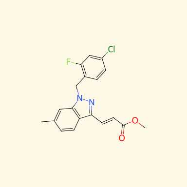 COC(=O)C=Cc1nn(Cc2ccc(Cl)cc2F)c2cc(C)ccc12